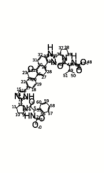 COC(=O)NC(C(=O)N1CCC[C@H]1c1ncc(-c2ccc3c(c2)COc2c-3ccc3c2ccc2[nH]c([C@@H]4CCCN4C(=O)[C@@H](NC(=O)OC)C(C)C)nc23)[nH]1)c1ccccc1